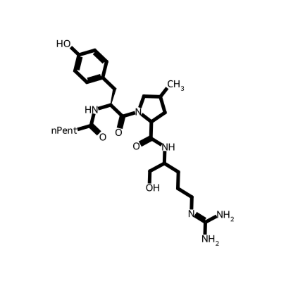 CCCCCC(=O)N[C@@H](Cc1ccc(O)cc1)C(=O)N1CC(C)CC1C(=O)NC(CO)CCCN=C(N)N